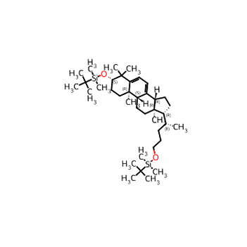 C[C@H](CCCO[Si](C)(C)C(C)(C)C)[C@H]1CC[C@H]2C3=CC=C4C(C)(C)[C@@H](O[Si](C)(C)C(C)(C)C)CC[C@]4(C)[C@H]3CC[C@]12C